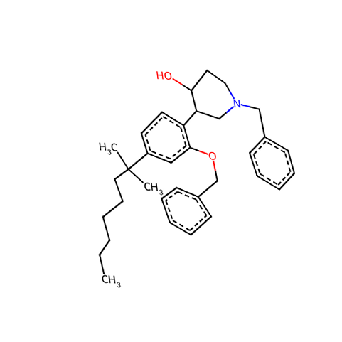 CCCCCCC(C)(C)c1ccc(C2CN(Cc3ccccc3)CCC2O)c(OCc2ccccc2)c1